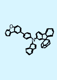 c1ccc2c(c1)-c1ccc(N(c3ccc(-c4ccc5oc6ccccc6c5c4)cc3)c3ccc4ccccc4c3)cc1C21C2CC3CC(C2)CC1C3